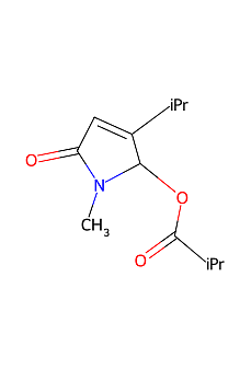 CC(C)C(=O)OC1C(C(C)C)=CC(=O)N1C